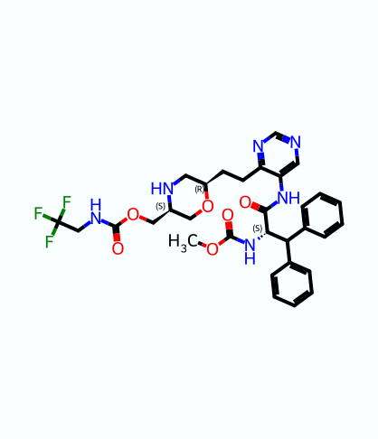 COC(=O)N[C@H](C(=O)Nc1cncnc1CC[C@@H]1CN[C@H](COC(=O)NCC(F)(F)F)CO1)C(c1ccccc1)c1ccccc1